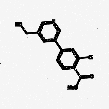 COC(=O)c1ccc(-c2cncc(CO)c2)cc1Cl